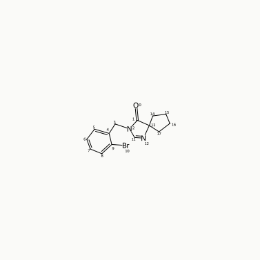 O=C1N(Cc2ccccc2Br)C=NC12CCCC2